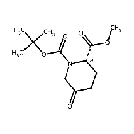 COC(=O)[C@@H]1CCC(=O)CN1C(=O)OC(C)(C)C